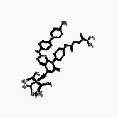 CC(C)[Si](C#Cc1cc(=O)n(C2CCC(NC(=O)CCC(=O)N(C)C)CC2)c2nc(Nc3ccc(N4CCN(C)CC4)cc3)ncc12)(C(C)C)C(C)C